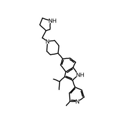 Cc1cc(-c2[nH]c3ccc(C4CCN(CC5CCNC5)CC4)cc3c2C(C)C)ccn1